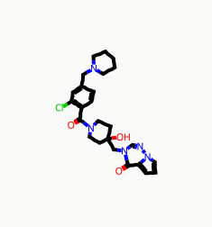 O=C(c1ccc(CN2CCCCC2)cc1Cl)N1CCC(O)(Cn2cnn3cccc3c2=O)CC1